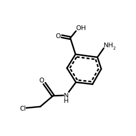 Nc1ccc(NC(=O)CCl)cc1C(=O)O